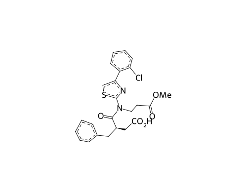 COC(=O)CCN(C(=O)[C@@H](CC(=O)O)Cc1ccccc1)c1nc(-c2ccccc2Cl)cs1